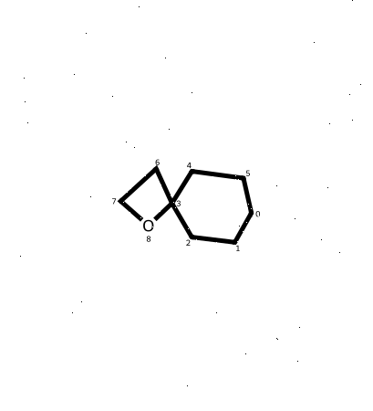 [CH]1CCC2(CC1)CCO2